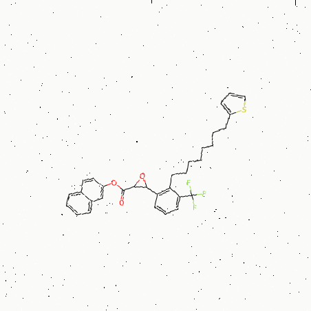 O=C(Oc1ccc2ccccc2c1)C1OC1c1cccc(C(F)(F)F)c1CCCCCCCCc1cccs1